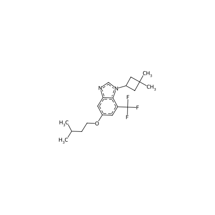 CC(C)CCOc1cc(C(F)(F)F)c2c(c1)ncn2C1CC(C)(C)C1